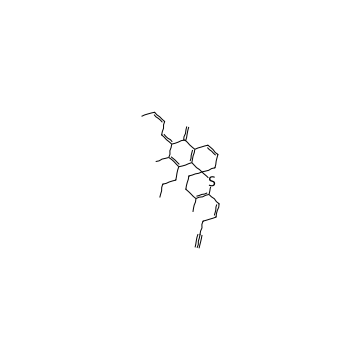 C#CC/C=C\C1=C(C)CCC2(CC=Cc3c2c(CCC)c(C)/c(=C/C=C\C)c3=C)S1